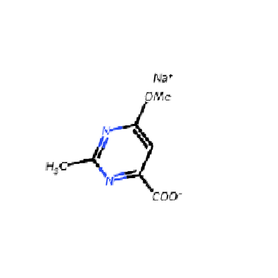 COc1cc(C(=O)[O-])nc(C)n1.[Na+]